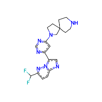 FC(F)c1ccc2ncc(-c3cc(N4CCC5(CCNCC5)C4)ncn3)n2n1